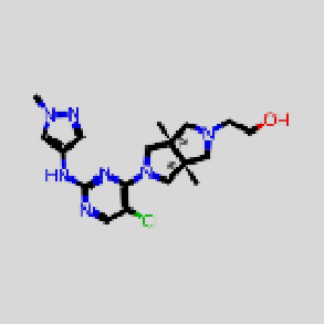 Cn1cc(Nc2ncc(Cl)c(N3C[C@]4(C)CN(CCO)C[C@]4(C)C3)n2)cn1